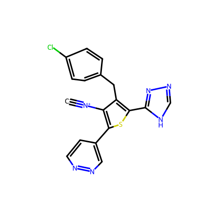 [C-]#[N+]c1c(-c2ccnnc2)sc(-c2nnc[nH]2)c1Cc1ccc(Cl)cc1